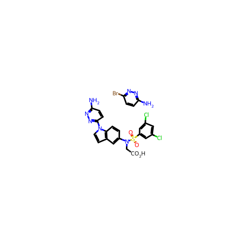 Nc1ccc(-n2ccc3cc(N(CC(=O)O)S(=O)(=O)c4cc(Cl)cc(Cl)c4)ccc32)nn1.Nc1ccc(Br)nn1